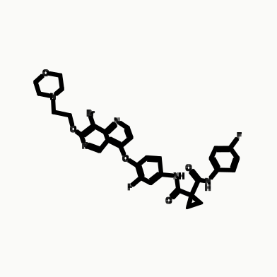 O=C(Nc1ccc(F)cc1)C1(C(=O)Nc2ccc(Oc3ccnc4c(Br)c(OCCN5CCOCC5)ncc34)c(F)c2)CC1